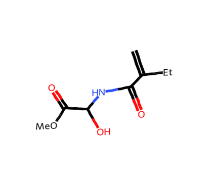 C=C(CC)C(=O)NC(O)C(=O)OC